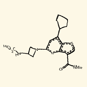 CNC(=O)c1csc2c(C3CCCC3)cc(N3CC(NC(=O)O)C3)nc12